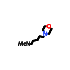 CNCCCCCN1CCOCC1